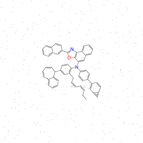 CC/C=C\C=C/Cc1cc(C2C=CC=Cc3ccccc32)ccc1N(c1ccc(-c2ccc3c(c2)=C=3)cc1)c1cc2ccccc2c2nc(-c3ccc4ccccc4c3)oc12